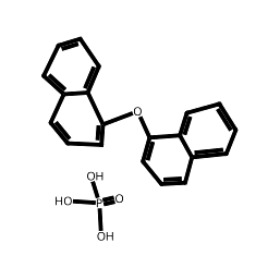 O=P(O)(O)O.c1ccc2c(Oc3cccc4ccccc34)cccc2c1